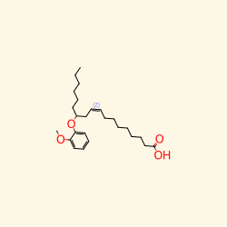 CCCCCCC(C/C=C\CCCCCCCC(=O)O)Oc1ccccc1OC